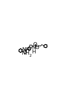 Nc1ccccc1NC(=O)c1ccc2c(c1)CCC2NC(=O)OCCCc1ccccc1